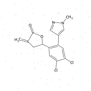 C=C1CC(c2cc(Cl)c(Cl)cc2-c2cnn(C)c2)OC1=O